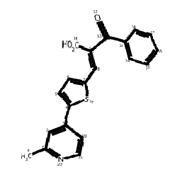 Cc1cc(-c2ccc(/C=C(\C(=O)O)C(=O)c3ccccc3)s2)ccn1